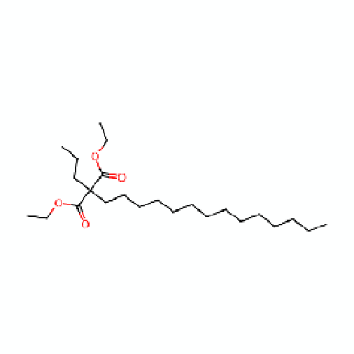 CCCCCCCCCCCCCCC(CCC)(C(=O)OCC)C(=O)OCC